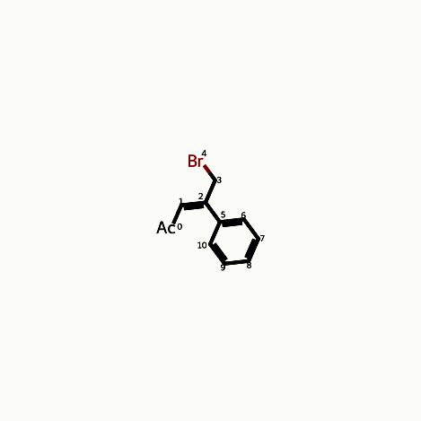 CC(=O)/C=C(/CBr)c1ccccc1